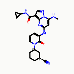 CNc1cc(Nc2cccn([C@@H]3CCC[C@H](C#N)C3)c2=O)nc2c(C(=O)NC3CC3)cnn12